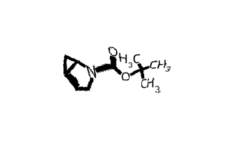 CC(C)(C)OC(=O)N1CC=C2CC21